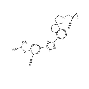 CC(C)Oc1ccc(-c2nc(-c3cccc4c3CCC43CCN(CC4(C#N)CC4)C3)no2)cc1C#N